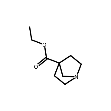 CCOC(=O)C12CCN(CC1)C2